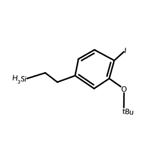 CC(C)(C)Oc1cc(CC[SiH3])ccc1I